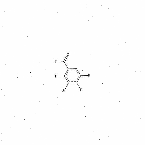 O=C(F)c1cc(F)c(F)c(Br)c1F